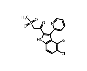 CS(=O)(=O)CC(=O)c1[nH]c2ccc(Cl)c(Br)c2c1-c1ccccn1